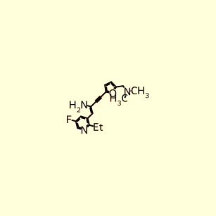 CCc1ncc(F)cc1/C=C(\N)C#Cc1ccc(CN(C)C)o1